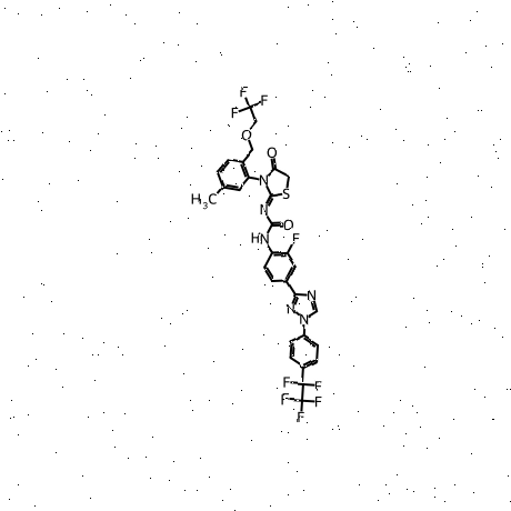 Cc1ccc(COCC(F)(F)F)c(N2C(=O)CSC2=NC(=O)Nc2ccc(-c3ncn(-c4ccc(C(F)(F)C(F)(F)F)cc4)n3)cc2F)c1